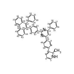 CC1NC=CC=C1c1ccc(-c2cc(-c3ccccc3)nc(-c3ccc(-c4c(-c5ccccc5)c5ccccc5c5ccccc45)cc3)n2)cc1